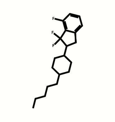 CCCCCC1CCC(C2Cc3cccc(F)c3C2(F)F)CC1